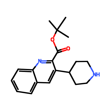 CC(C)(C)OC(=O)c1nc2ccccc2cc1C1CCNCC1